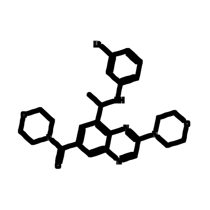 CCc1cccc(NC(C)c2cc(C(=O)N3CCOCC3)cc3ncc(N4CCOCC4)nc23)c1